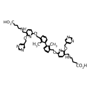 Cc1c(COc2ccc(CNCCCC(=O)O)c(OCc3cncnc3)n2)cccc1-c1cccc(COc2ccc(CNCCCC(=O)O)c(OCc3cncnc3)n2)c1C